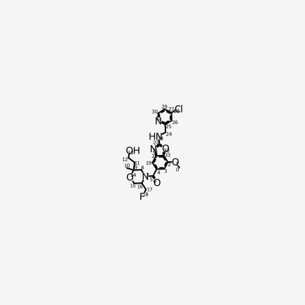 COc1cc(C(=O)N2CC(C)(CCO)OCC2CF)cc2nc(NCc3cc(Cl)ccn3)oc12